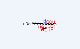 CCCCCCCCCCCCCCCCCCNCC(=O)[C@@H](O)[C@@H](O)[C@H](O)CO.O=C(O)C(=O)O